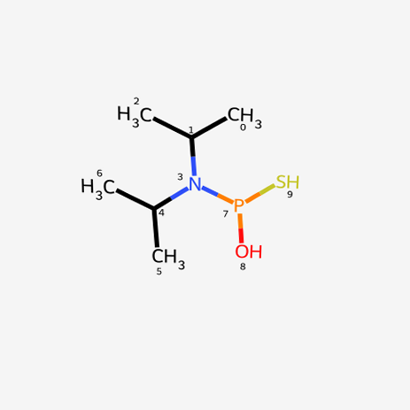 CC(C)N(C(C)C)P(O)S